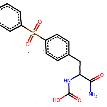 NC(=O)C(Cc1ccc(S(=O)(=O)c2ccccc2)cc1)NC(=O)O